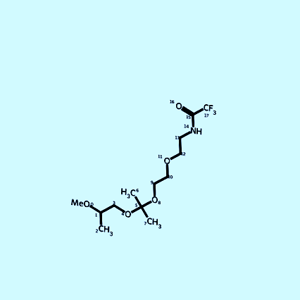 COC(C)COC(C)(C)OCCOCCNC(=O)C(F)(F)F